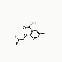 Cc1cnc(OCC(F)F)c(C(=O)O)c1